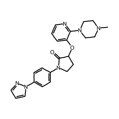 CN1CCN(c2ncccc2OC2CCN(c3ccc(-n4cccn4)cc3)C2=O)CC1